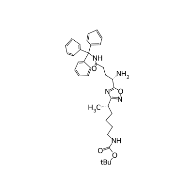 C[C@@H](CCCCNC(=O)OC(C)(C)C)c1noc([C@@H](N)CCC(=O)NC(c2ccccc2)(c2ccccc2)c2ccccc2)n1